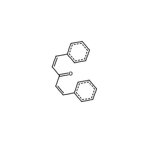 O=C(/C=C\c1ccccc1)/C=C\c1ccccc1